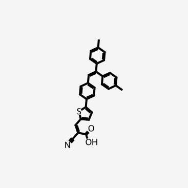 Cc1ccc(C(=Cc2ccc(-c3ccc(/C=C(/C#N)C(=O)O)s3)cc2)c2ccc(C)cc2)cc1